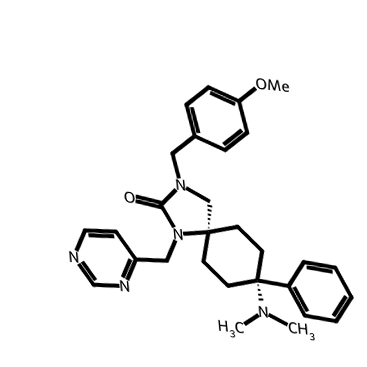 COc1ccc(CN2C[C@]3(CC[C@@](c4ccccc4)(N(C)C)CC3)N(Cc3ccncn3)C2=O)cc1